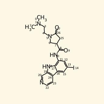 CN(C)CCN1CC(C(=O)Nc2cc(I)cc3c2[nH]c2cnccc23)CC1=O